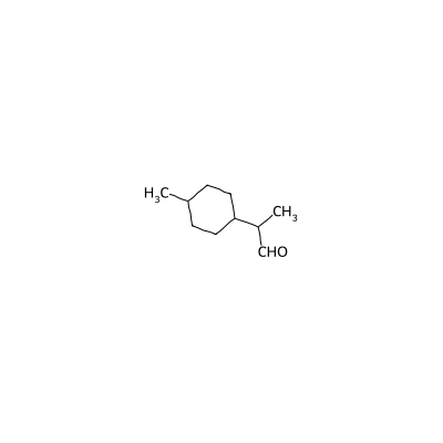 CC1CCC(C(C)C=O)CC1